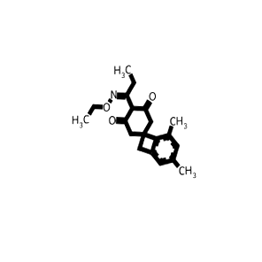 CCO/N=C(/CC)C1C(=O)CC2(CC1=O)Cc1cc(C)cc(C)c12